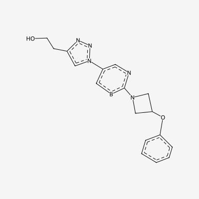 OCCc1cn(-c2cbc(N3CC(Oc4ccccc4)C3)nc2)nn1